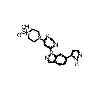 C[S+]([O-])N1CCN(c2cc(-n3ncc4ccc(-c5ccn[nH]5)cc43)ncn2)CC1